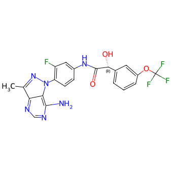 Cc1nn(-c2ccc(NC(=O)[C@H](O)c3cccc(OC(F)(F)F)c3)cc2F)c2c(N)ncnc12